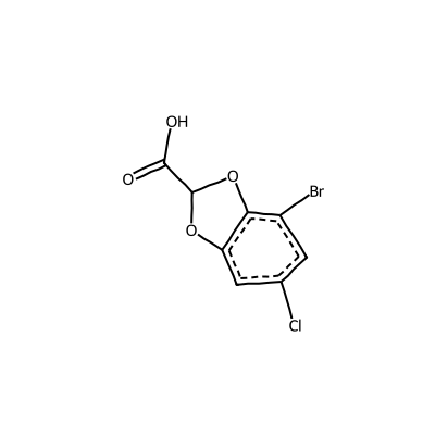 O=C(O)C1Oc2cc(Cl)cc(Br)c2O1